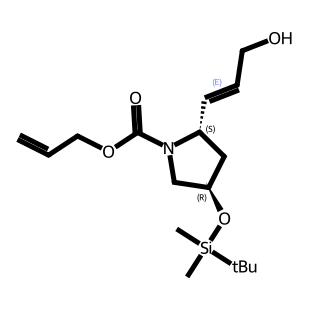 C=CCOC(=O)N1C[C@H](O[Si](C)(C)C(C)(C)C)C[C@H]1/C=C/CO